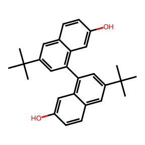 CC(C)(C)c1cc(-c2cc(C(C)(C)C)cc3ccc(O)cc23)c2cc(O)ccc2c1